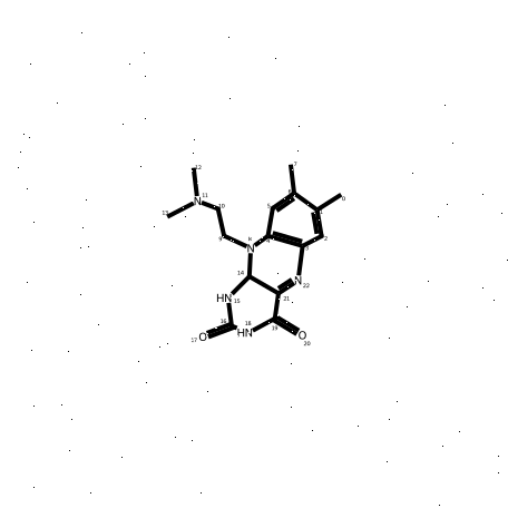 Cc1cc2c(cc1C)N(CCN(C)C)C1NC(=O)NC(=O)C1=N2